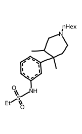 CCCCCCN1CCC(C)(c2cccc(NS(=O)(=O)CC)c2)C(C)C1